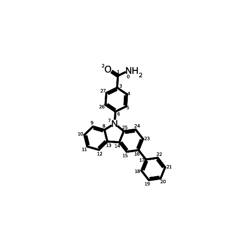 NC(=O)c1ccc(-n2c3ccccc3c3cc(-c4ccccc4)ccc32)cc1